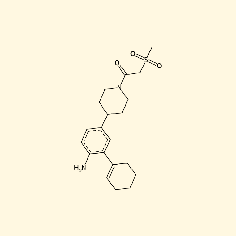 CS(=O)(=O)CC(=O)N1CCC(c2ccc(N)c(C3=CCCCC3)c2)CC1